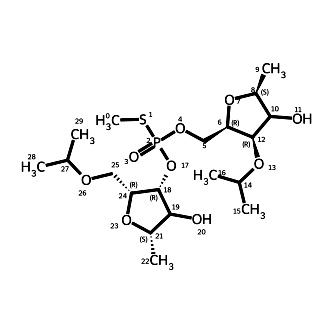 CSP(=O)(OC[C@H]1O[C@@H](C)C(O)[C@H]1OC(C)C)O[C@@H]1C(O)[C@H](C)O[C@@H]1COC(C)C